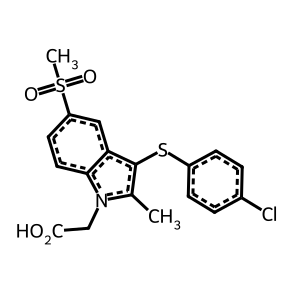 Cc1c(Sc2ccc(Cl)cc2)c2cc(S(C)(=O)=O)ccc2n1CC(=O)O